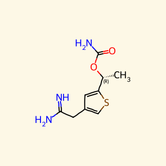 C[C@@H](OC(N)=O)c1cc(CC(=N)N)cs1